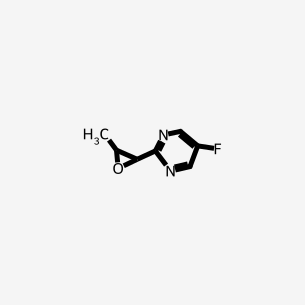 CC1OC1c1ncc(F)cn1